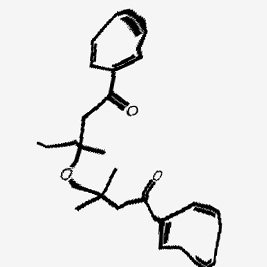 CC(C)(CC(=O)c1ccccc1)OC(C)(C)CC(=O)c1ccccc1